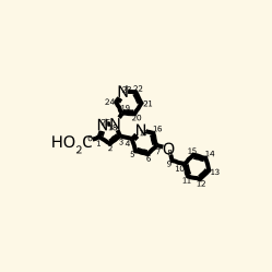 O=C(O)c1cc(-c2ccc(OCc3ccccc3)cn2)n(-c2cccnc2)n1